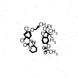 C#CCOc1cc(-n2nc3n(c2=O)CCCC3)c(Cl)cc1Cl.CCOC1Oc2ccc(OS(C)(=O)=O)cc2C1(C)C